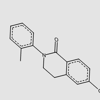 Cc1ccccc1N1CCc2cc(O)ccc2C1=O